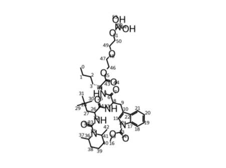 CCCC[C@@H](NC(=O)C(Cc1cn(C(=O)OC)c2ccccc12)NC(=O)C(CC(C)(C)C)NC(=O)N1C(C)CCCC1C)C(=O)OCCOCCON(O)O